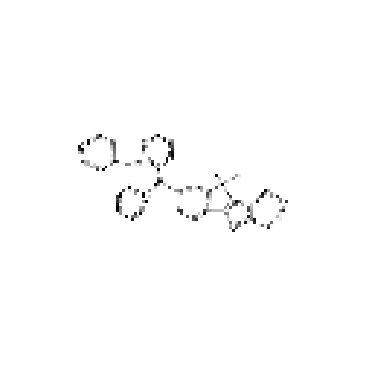 CC1(C)c2cc(-c3c4ccccc4c(-c4ccccc4)c4ccccc34)ccc2-c2oc3ccccc3c21